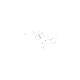 COC(=O)c1ccc(C2=CC(=O)C[C@@H](c3cccc(Cl)c3)[C@@]23C(=O)Nc2cc(Cl)ccc23)cc1